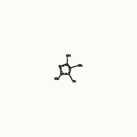 CC(C)c1c(C(C)(C)C)c(O)nn1C(C)(C)C